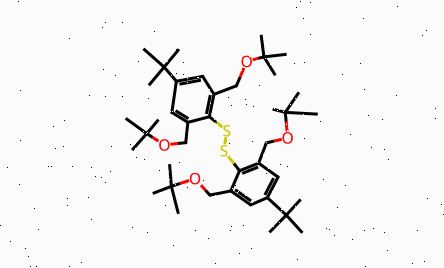 CC(C)(C)OCc1cc(C(C)(C)C)cc(COC(C)(C)C)c1SSc1c(COC(C)(C)C)cc(C(C)(C)C)cc1COC(C)(C)C